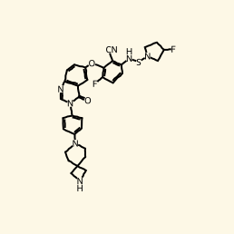 N#Cc1c(NSN2CCC(F)C2)ccc(F)c1Oc1ccc2ncn(-c3ccc(N4CCC5(CC4)CNC5)cc3)c(=O)c2c1